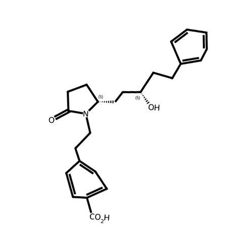 O=C(O)c1ccc(CCN2C(=O)CC[C@@H]2CC[C@@H](O)CCc2ccccc2)cc1